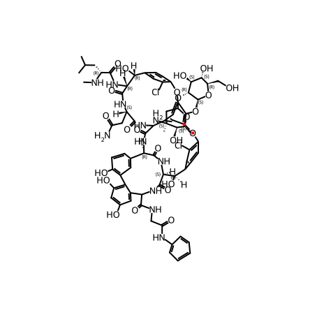 CN[C@H](CC(C)C)C(=O)N[C@H]1C(=O)N[C@@H](CC(N)=O)C(=O)NC2C(=O)N[C@H]3C(=O)N[C@H](C(=O)NC(C(=O)NCC(=O)Nc4ccccc4)c4cc(O)cc(O)c4-c4cc3ccc4O)[C@H](O)c3ccc(c(Cl)c3)Oc3cc2cc(c3O[C@@H]2O[C@H](CO)[C@@H](O)[C@H](O)[C@H]2OC2C[C@](C)(N)[C@H](O)[C@H](C)O2)Oc2ccc(cc2Cl)[C@H]1O